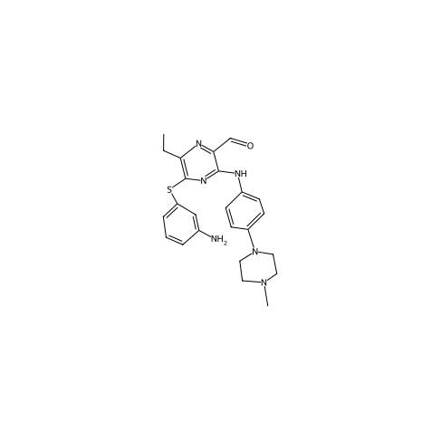 CCc1nc(C=O)c(Nc2ccc(N3CCN(C)CC3)cc2)nc1Sc1cccc(N)c1